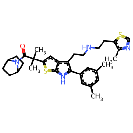 Cc1cc(C)cc(-c2[nH]c3sc(C(C)(C)C(=O)N4C5CCC4CC5)cc3c2CCNCCc2scnc2C)c1